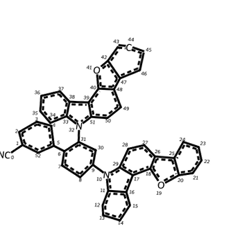 N#Cc1cccc(-c2ccc(-n3c4ccccc4c4c5oc6ccccc6c5ccc43)cc2-n2c3ccccc3c3c4oc5ccccc5c4ccc32)c1